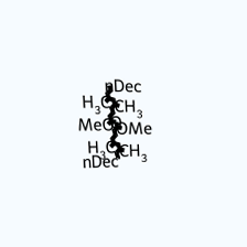 CCCCCCCCCCCCC(C)CC(C)CCCC(OC)OC(CCCC(C)CC(C)CCCCCCCCCCCC)OC